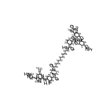 CCCOc1cccc(Oc2cc3c(cc2NS(=O)(=O)c2cccc(C(=O)NCCCCCCCCCCCC(=O)N4CCN(C(=O)c5ccc(Nc6nc(C7CC7)cn7c(-c8cn[nH]c8)cnc67)c(F)c5)CC4)c2)n(C)c(=O)n3C)c1